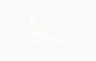 CCCOCCN1CCOC(CNCC(C)C)C1